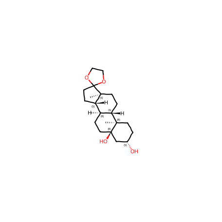 C[C@]12CC[C@H]3[C@@H](CC[C@@]4(O)C[C@@H](O)CC[C@]34C)[C@@H]1CCC21OCCO1